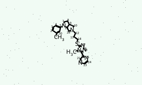 Cc1cccc(N2CCC3CN(CCCSc4nnc(-c5cnccn5)n4C)CC32)c1